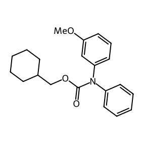 COc1cccc(N(C(=O)OCC2CCCCC2)c2ccccc2)c1